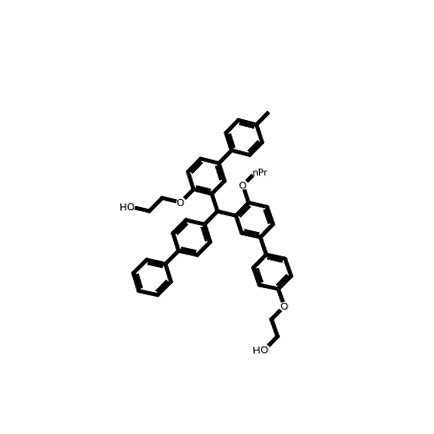 CCCOc1ccc(-c2ccc(OCCO)cc2)cc1C(c1ccc(-c2ccccc2)cc1)c1cc(-c2ccc(C)cc2)ccc1OCCO